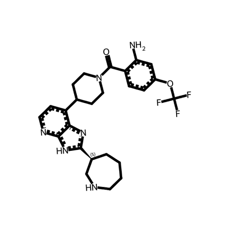 Nc1cc(OC(F)(F)F)ccc1C(=O)N1CCC(c2ccnc3[nH]c([C@H]4CCCCNC4)nc23)CC1